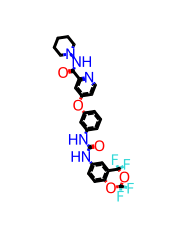 O=C(Nc1cccc(Oc2ccnc(C(=O)NN3CCCCC3)c2)c1)Nc1ccc2c(c1)C(F)(F)OC(F)(F)O2